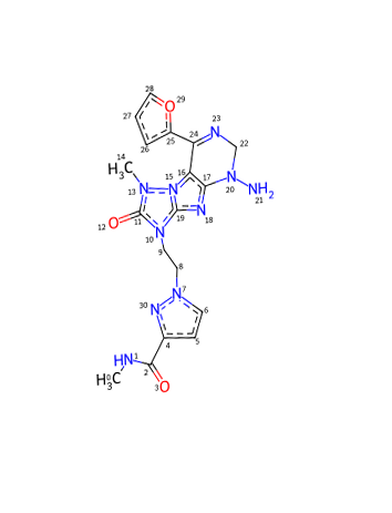 CNC(=O)c1ccn(CCn2c(=O)n(C)n3c4c(nc23)N(N)CN=C4c2ccco2)n1